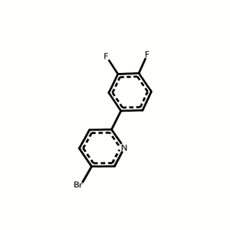 Fc1ccc(-c2ccc(Br)cn2)cc1F